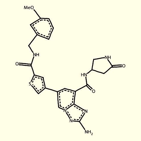 COc1cccc(CNC(=O)c2cc(-c3cc(C(=O)NC4CNC(=O)C4)c4nc(N)nn4c3)cs2)c1